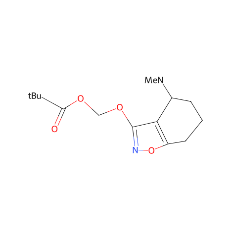 CNC1CCCc2onc(OCOC(=O)C(C)(C)C)c21